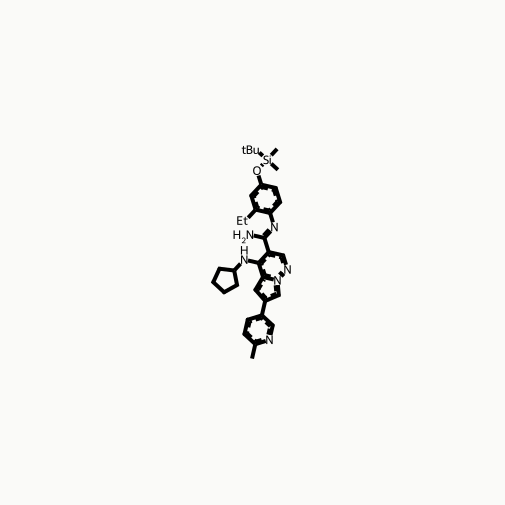 CCc1cc(O[Si](C)(C)C(C)(C)C)ccc1/N=C(\N)c1cnn2cc(-c3ccc(C)nc3)cc2c1NC1CCCC1